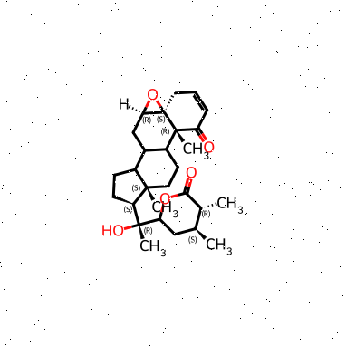 C[C@H]1CC([C@](C)(O)[C@H]2CCC3C4C[C@H]5O[C@]56CC=CC(=O)[C@]6(C)C4CC[C@@]32C)OC(=O)[C@@H]1C